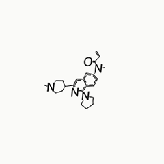 C=CC(=O)N(C)c1ccc2c(N3CCCC3)nc(C3CCN(C)CC3)cc2c1